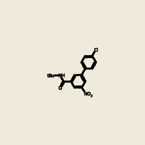 CC(C)(C)NC(=O)c1cc(-c2ccc(Cl)cc2)cc([N+](=O)[O-])c1